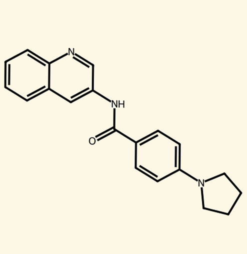 O=C(Nc1cnc2ccccc2c1)c1ccc(N2CCCC2)cc1